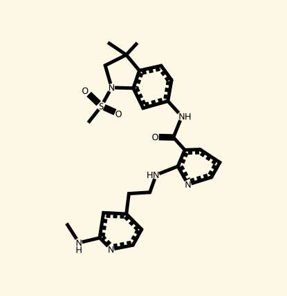 CNc1cc(CCNc2ncccc2C(=O)Nc2ccc3c(c2)N(S(C)(=O)=O)CC3(C)C)ccn1